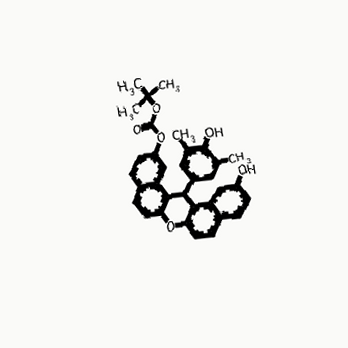 Cc1cc(C2c3c(ccc4ccc(O)cc34)Oc3ccc4ccc(OC(=O)OC(C)(C)C)cc4c32)cc(C)c1O